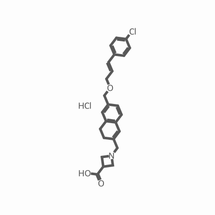 Cl.O=C(O)C1CN(CC2=Cc3ccc(COC/C=C/c4ccc(Cl)cc4)cc3CC2)C1